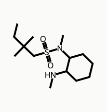 CCC(C)(C)CS(=O)(=O)N(C)C1CCCCC1NC